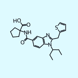 CCC(CC)n1c(Cc2cccs2)nc2cc(C(=O)NC3(C(=O)O)CCCC3)ccc21